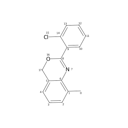 Cc1cccc2c1N=C(c1ccccc1Cl)OC2